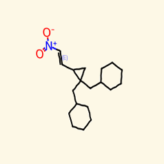 O=[N+]([O-])/C=C/C1CC1(CC1CCCCC1)CC1CCCCC1